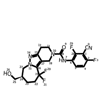 N#Cc1c(F)ccc(NC(=O)N2CCc3nn4c(c3C2)C(F)(F)CC[C@@H](CO)C4)c1F